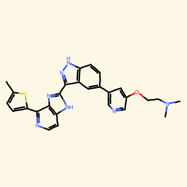 Cc1ccc(-c2nccc3[nH]c(-c4n[nH]c5ccc(-c6cncc(OCCN(C)C)c6)cc45)nc23)s1